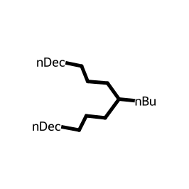 [CH2]CCCC(CCCCCCCCCCCCC)CCCCCCCCCCCCC